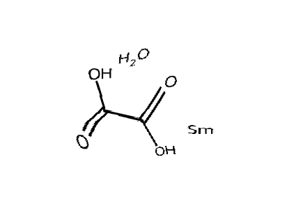 O.O=C(O)C(=O)O.[Sm]